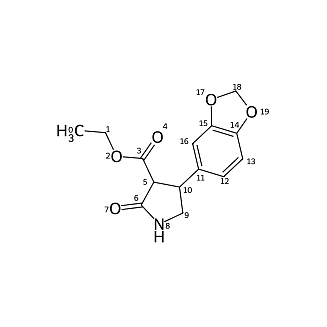 CCOC(=O)C1C(=O)NCC1c1ccc2c(c1)OCO2